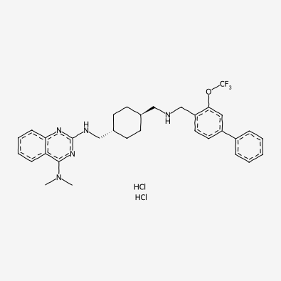 CN(C)c1nc(NC[C@H]2CC[C@H](CNCc3ccc(-c4ccccc4)cc3OC(F)(F)F)CC2)nc2ccccc12.Cl.Cl